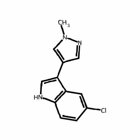 Cn1cc(-c2c[nH]c3ccc(Cl)cc23)cn1